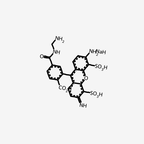 N=c1ccc2c(-c3cc(C(=O)NCN)ccc3C(=O)O)c3ccc(N)c(S(=O)(=O)O)c3oc-2c1S(=O)(=O)O.[NaH]